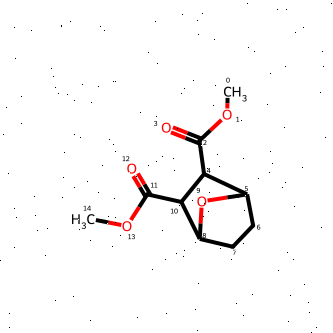 COC(=O)C1C2CCC(O2)C1C(=O)OC